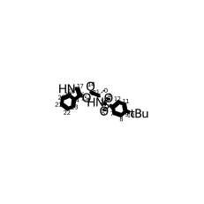 C[C@H](NS(=O)(=O)c1ccc(C(C)(C)C)cc1)C(=O)Oc1c[nH]c2ccccc12